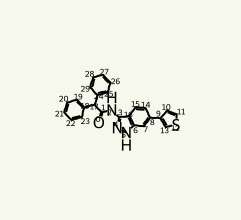 O=C(Nc1n[nH]c2cc(-c3ccsc3)ccc12)C(c1ccccc1)c1ccccc1